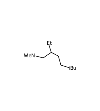 CCC(C)CCC(CC)CNC